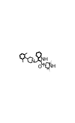 Cc1cccc(C)c1C1CCN(Cc2c(C(=O)N3C[C@@H](C)N[C@@H](C)C3)[nH]c3ccccc23)CC1